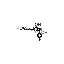 OCCSCCCc1nc(O)c2cnn(-c3ccc(F)cc3O)c2n1